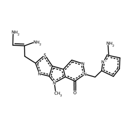 Cn1c2nc(C/C(N)=C/N)sc2c2cnn(Cc3cccc(N)n3)c(=O)c21